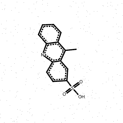 Cc1c2ccccc2nc2ccc(S(=O)(=O)O)cc12